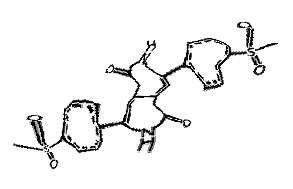 CS(=O)(=O)c1ccc(C2=C3C(=O)NC(c4ccc(S(C)(=O)=O)cc4)=C3C(=O)N2)cc1